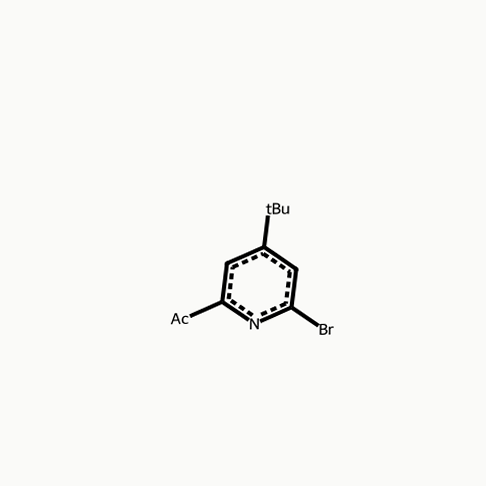 CC(=O)c1cc(C(C)(C)C)cc(Br)n1